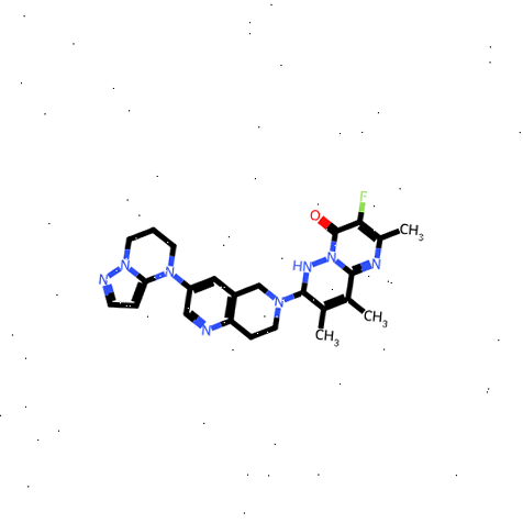 CC1=C(C)C(N2CCc3ncc(N4CCCn5nccc54)cc3C2)Nn2c1nc(C)c(F)c2=O